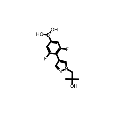 CC(C)(O)Cn1cc(-c2c(F)cc(B(O)O)cc2F)cn1